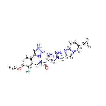 COc1ccc(-c2c[nH]nn2)c(CNC(=O)/C(N)=C/N(N)Cc2cn3cc(C4CC4)ccc3n2)c1F